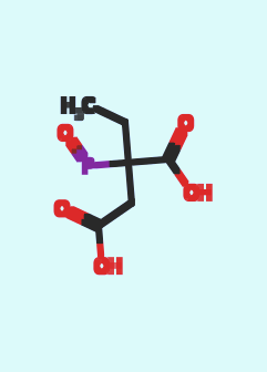 CCC(CC(=O)O)(P=O)C(=O)O